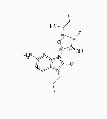 CCCn1c(=O)n([C@@H]2O[C@H](C(O)CC)[C@H](F)[C@H]2O)c2nc(N)ncc21